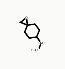 O=C(O)NC1CCC2(CC1)CO2